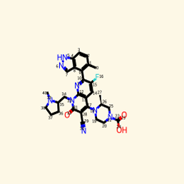 Cc1ccc2[nH]ncc2c1-c1nc2c(cc1F)c(N1CCN(C(=O)O)C[C@@H]1C)c(C#N)c(=O)n2CC1CCCN1C